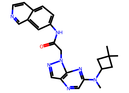 CN(c1cnc2cnn(CC(=O)Nc3ccc4ccncc4c3)c2n1)C1CC(C)(C)C1